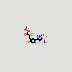 CCONC(=O)C(Cl)=Cc1cc(-c2nn(C)c(OC(F)F)c2Cl)c(Cl)cc1Cl